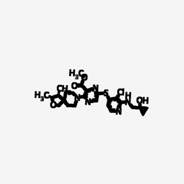 COC(=O)c1nc(Sc2ccnc(NCC3(O)CC3)c2Cl)cnc1N1CCC2(CC1)CO[C@@H](C)[C@H]2C